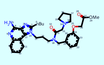 CCCCc1nc2c(N)nc3ccccc3c2n1CCCN(Cc1cccc(OCC(=O)OC)c1)C(=O)CN1CCCC1